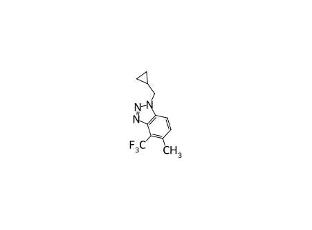 Cc1ccc2c(nnn2CC2CC2)c1C(F)(F)F